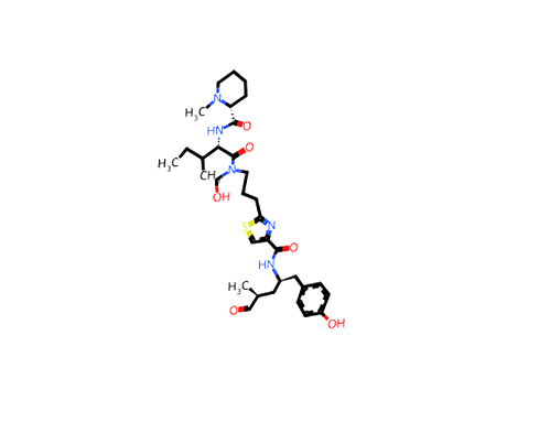 CCC(C)[C@H](NC(=O)[C@H]1CCCCN1C)C(=O)N(CO)CCCc1nc(C(=O)N[C@@H](Cc2ccc(O)cc2)C[C@H](C)C=O)cs1